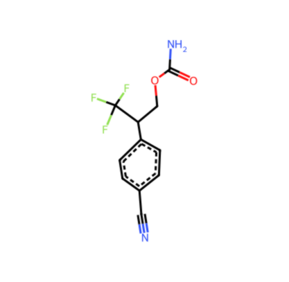 N#Cc1ccc(C(COC(N)=O)C(F)(F)F)cc1